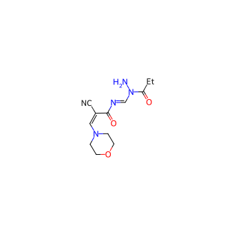 CCC(=O)N(N)C=NC(=O)C(C#N)=CN1CCOCC1